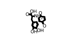 NC(Cc1ccc(O)c(O)c1)C(=O)O.O=C1C=CC(=O)C=C1